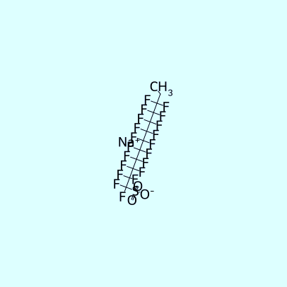 CCC(F)(F)C(F)(F)C(F)(F)C(F)(F)C(F)(F)C(F)(F)C(F)(F)C(F)(F)C(F)(F)C(F)(F)S(=O)(=O)[O-].[Na+]